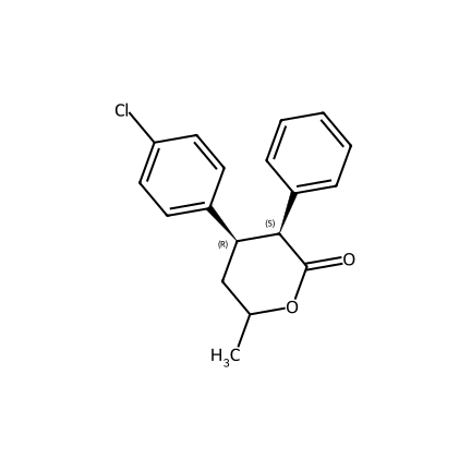 CC1C[C@@H](c2ccc(Cl)cc2)[C@@H](c2ccccc2)C(=O)O1